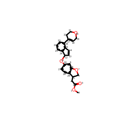 COC(=O)CC1COc2cc(OC3C=Cc4c(C5=CCOCC5)cccc43)ccc21